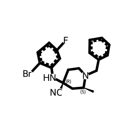 C[C@H]1C[C@](C#N)(Nc2cc(F)ccc2Br)CCN1Cc1ccccc1